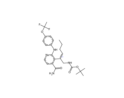 CCC/C=C(/CNC(=O)OC(C)(C)C)c1c(C(N)=O)ccnc1Nc1ccc(OC(C)(F)F)cc1